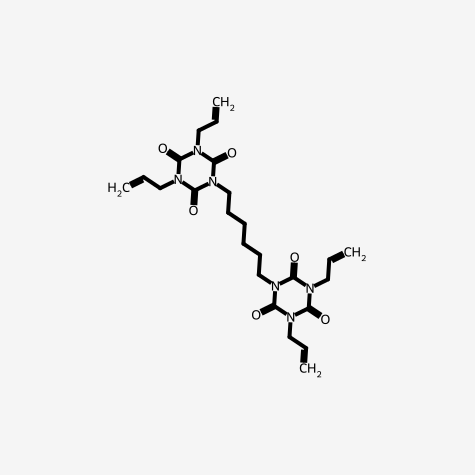 C=CCn1c(=O)n(CC=C)c(=O)n(CCCCCCn2c(=O)n(CC=C)c(=O)n(CC=C)c2=O)c1=O